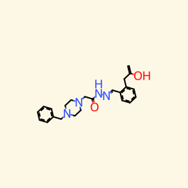 C=C(O)Cc1ccccc1C=NNC(=O)CN1CCN(Cc2ccccc2)CC1